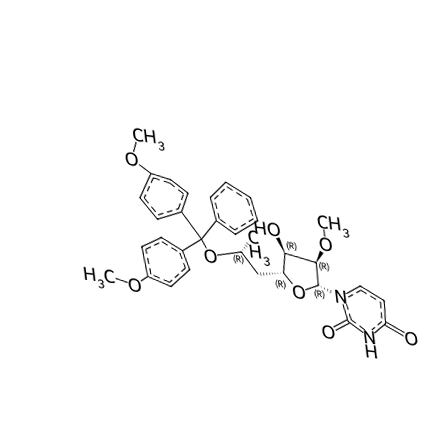 COc1ccc(C(O[C@H](C)C[C@H]2O[C@@H](n3ccc(=O)[nH]c3=O)[C@H](OC)[C@@H]2O)(c2ccccc2)c2ccc(OC)cc2)cc1